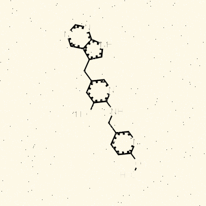 COc1ccc(CNc2ncc(Cc3c[nH]c4ncncc34)cc2C)cn1